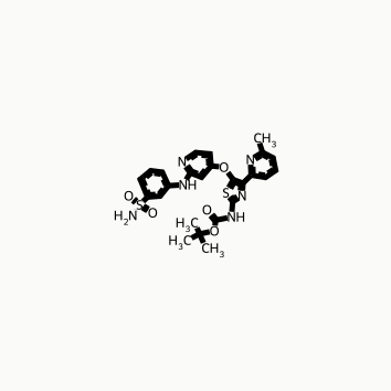 Cc1cccc(-c2nc(NC(=O)OC(C)(C)C)sc2Oc2ccnc(Nc3cccc(S(N)(=O)=O)c3)c2)n1